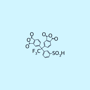 O=C1OC(=O)c2cc(C(c3cccc(S(=O)(=O)O)c3)(c3ccc4c(c3)C(=O)OC4=O)C(F)(F)F)ccc21